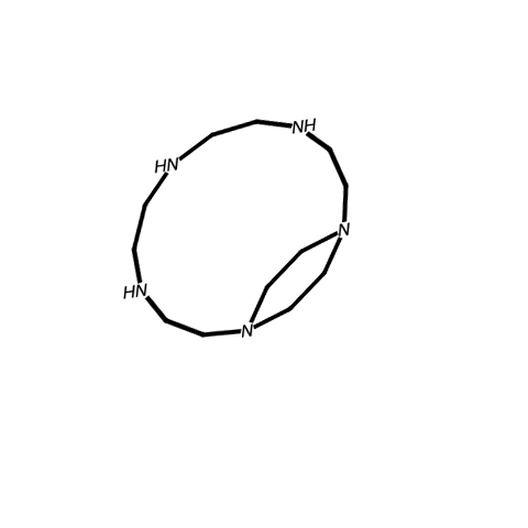 C1CNCCN2CCN(CCNCCN1)CC2